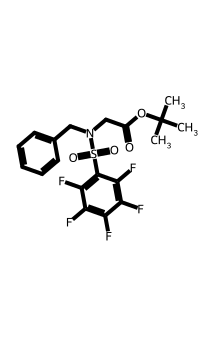 CC(C)(C)OC(=O)CN(Cc1ccccc1)S(=O)(=O)c1c(F)c(F)c(F)c(F)c1F